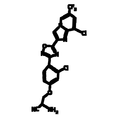 N#CC(N)COc1ccc(-c2noc(-c3cn4cc(C(F)(F)F)cc(Cl)c4n3)n2)c(Cl)c1